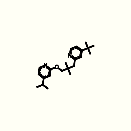 CC(C)c1ccnc(OCC(C)(C)Cc2cc(C(C)(C)C)ccn2)c1